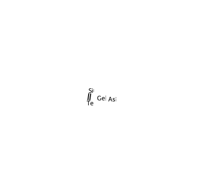 [As].[Ge].[Si]=[Te]